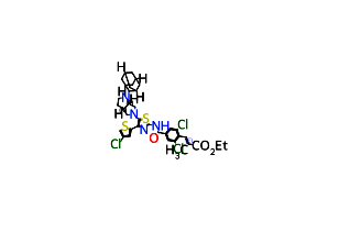 CCOC(=O)/C(C)=C/c1c(Cl)cc(C(=O)Nc2nc(-c3cc(Cl)cs3)c(N3C[C@H]4CCN(C5[C@H]6C[C@@H]7C[C@@H](C[C@H]5C7)C6)[C@H]4C3)s2)cc1Cl